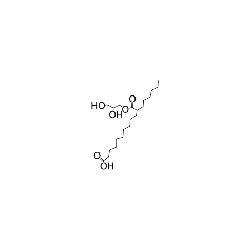 CCCCCCC(CCCCCCCCCC(=O)O)C(=O)OCC(O)CO